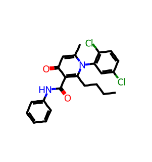 CCCCc1c(C(=O)Nc2ccccc2)c(=O)cc(C)n1-c1cc(Cl)ccc1Cl